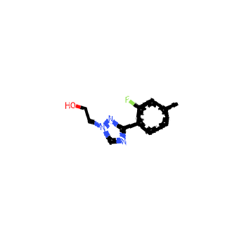 Cc1ccc(-c2ncn(CCO)n2)c(F)c1